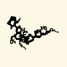 CC[C@@H](O)Cn1cc(-c2cncc([C@@]3(C)c4nnc(-c5c(F)cccc5F)cc4[C@H](CC)CC3(C)C)n2)cn1